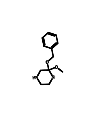 COC1(OCc2ccccc2)CNCC[N]1